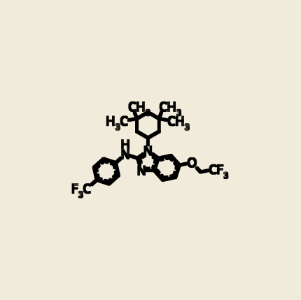 CC1(C)CC(n2c(Nc3ccc(C(F)(F)F)cc3)nc3ccc(OCC(F)(F)F)cc32)CC(C)(C)C1